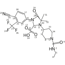 CCNC(=O)N1CCC(N2C(S(=O)(=O)O)N(c3ccc(C#N)c(C(F)(F)F)c3)C(=O)C2(C)C)CC1